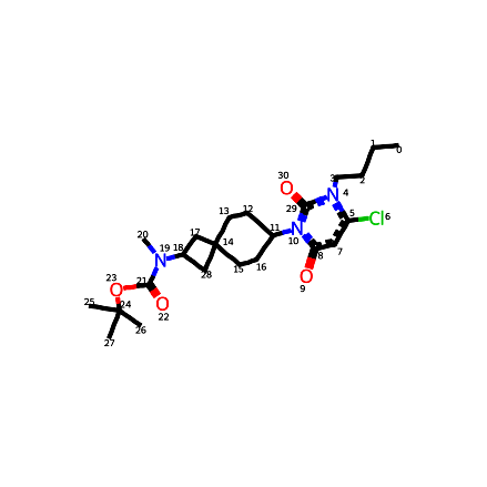 CCCCn1c(Cl)cc(=O)n(C2CCC3(CC2)CC(N(C)C(=O)OC(C)(C)C)C3)c1=O